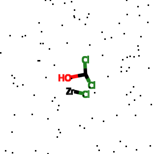 OC(Cl)Cl.[Cl][Zr]